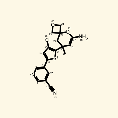 CC1(c2sc(-c3cncc(C#N)c3)cc2Cl)C=C(N)OC2(COC2)C1